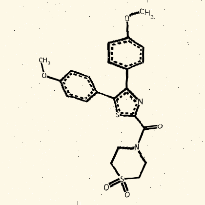 COc1ccc(-c2nc(C(=O)N3CCS(=O)(=O)CC3)sc2-c2ccc(OC)cc2)cc1